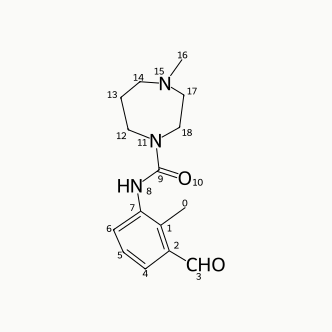 Cc1c(C=O)cccc1NC(=O)N1CCCN(C)CC1